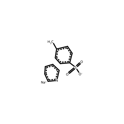 Cc1ccc(S(=O)(=O)[O-])cc1.[Na+].c1ccncc1